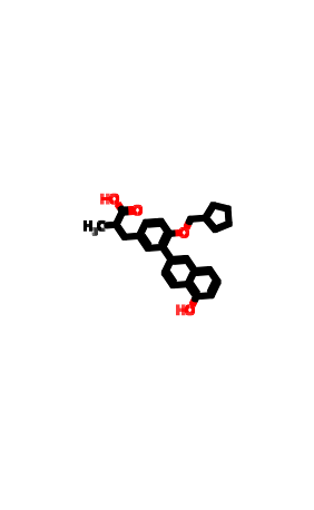 CC(Cc1ccc(OCC2CCCC2)c(-c2ccc3c(O)cccc3c2)c1)C(=O)O